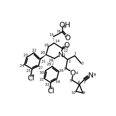 CCC(COCC1(C#N)CC1)N1C(=O)[C@@H](CC(=O)O)C[C@H](c2cccc(Cl)c2)[C@H]1c1ccc(Cl)cc1